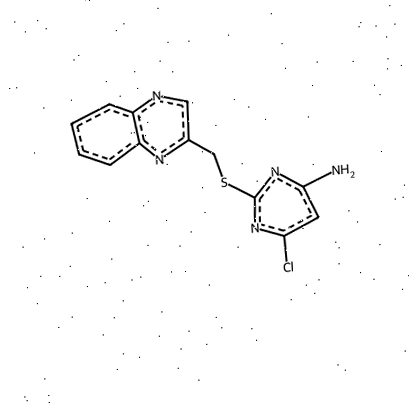 Nc1cc(Cl)nc(SCc2cnc3ccccc3n2)n1